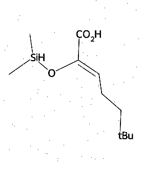 C[SiH](C)O/C(=C\CCC(C)(C)C)C(=O)O